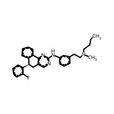 CCCCN(C)CCc1cccc(Nc2ncc3c(n2)-c2ccccc2[C@H](c2ccccc2F)C3)c1